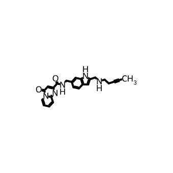 CC#CCCNCc1cc2ccc(CNC(=O)c3cc(=O)n4ccccc4n3)cc2[nH]1